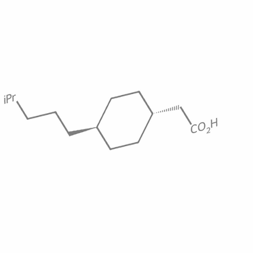 CC(C)CCC[C@H]1CC[C@H](CC(=O)O)CC1